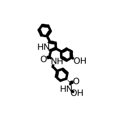 O=C(NCC1=CC[C@@H](C(=O)NO)C=C1)c1[nH]c(-c2ccccc2)cc1-c1ccc(O)cc1